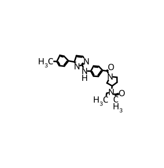 CCN(C(C)=O)C1CCN(C(=O)c2ccc(Nc3nccc(-c4ccc(C)cc4)n3)cc2)C1